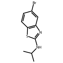 CC(C)Nc1nc2cc(Br)ccc2s1